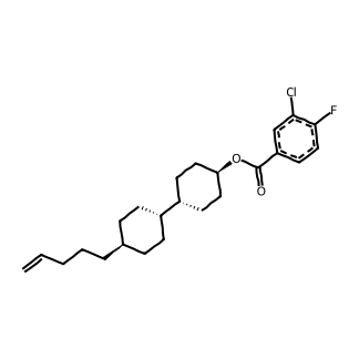 C=CCCC[C@H]1CC[C@H]([C@H]2CC[C@H](OC(=O)c3ccc(F)c(Cl)c3)CC2)CC1